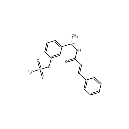 C[C@H](NC(=O)C=Cc1ccccc1)c1cccc(OS(=O)(=O)C(F)(F)F)c1